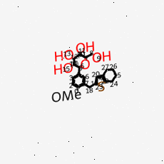 COc1ccc(C2OC(CO)[C@@H](O)C(O)[C@H]2O)cc1Cc1cc2c(s1)CCCC2